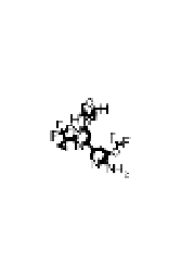 Nc1ncc(-c2cc(N3C[C@@H]4C[C@H]3CO4)nc(C3(C(F)(F)F)CC3)n2)cc1OC(F)F